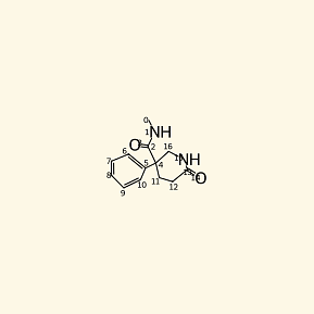 CNC(=O)C1(c2ccccc2)CCC(=O)NC1